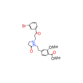 COC(=O)c1ccc(CCN2C(=O)CCN2CCC(=O)c2cccc(Br)c2)cc1OC